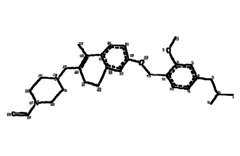 COc1cc(CC(C)C)ccc1COc1ccc2c(c1)CCC(CN1CCN(C=O)CC1)=C2C